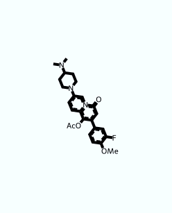 COc1ccc(-c2cc(=O)n3cc(N4CCC(N(C)C)CC4)ccc3c2OC(C)=O)cc1F